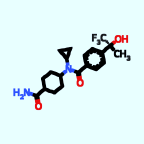 C[C@](O)(c1ccc(C(=O)N(C2CCC(C(N)=O)CC2)C2CC2)cc1)C(F)(F)F